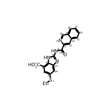 CCSc1cc(C(=O)O)c2[nH]c(NC(=O)c3cc4ccccc4cn3)nc2c1